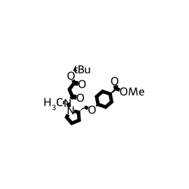 COC(=O)[C@H]1CC[C@H](OC[C@@H]2CCCN2N(C)C(=O)CC(=O)OC(C)(C)C)CC1